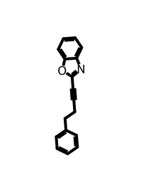 C(#Cc1nc2ccccc2o1)CCc1ccccc1